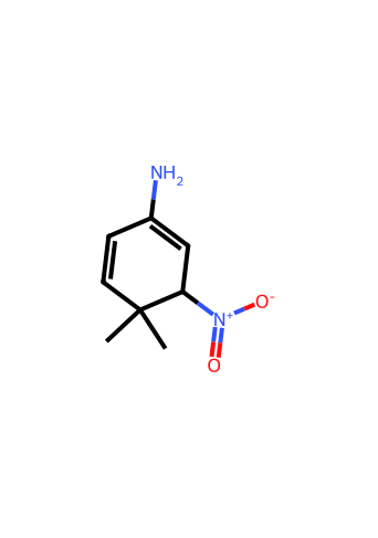 CC1(C)C=CC(N)=CC1[N+](=O)[O-]